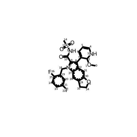 COC1NC=CC=C1c1c(C(=O)NS(C)(=O)=O)n(Cc2cc(F)ccc2F)c2cc3c(cc12)OCC3